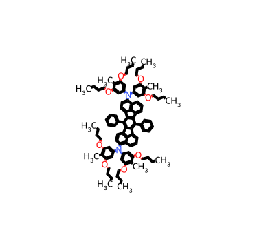 CCCCOc1cc(N(c2cc(OCCCC)c(C)c(OCCCC)c2)c2ccc3c4c(-c5ccccc5)c5c6ccc(N(c7cc(OCCCC)c(C)c(OCCCC)c7)c7cc(OCCCC)c(C)c(OCCCC)c7)c7cccc(c5c(-c5ccccc5)c4c4cccc2c43)c76)cc(OCCCC)c1C